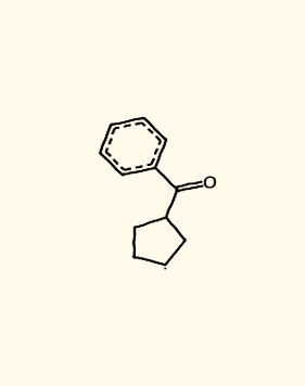 O=C(c1ccccc1)C1C[CH]CC1